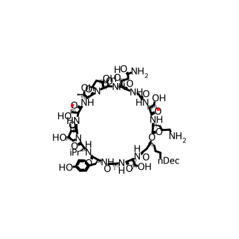 CCCCCCCCCCCCC[C@@H]1CC(=O)N[C@H]([C@@H](C)O)C(=O)N[C@H](C)C(=O)N[C@@H](Cc2ccc(O)cc2)C(=O)N[C@@H](C(C)C)C(=O)N2C[C@H](O)C[C@H]2C(=O)NC([C@@H](C)O)C(=O)N[C@@H]([C@@H](C)O)C(=O)N2CC[C@H](O)[C@H]2C(=O)N[C@@H]([C@H](O)CC(N)=O)C(=O)NCC(=O)N[C@H]([C@@H](C)O)C(=O)N[C@@H](CCCN)C(=O)O1